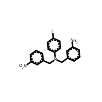 Nc1cccc(CN(Cc2cccc([N+](=O)[O-])c2)c2ccc(F)cc2)c1